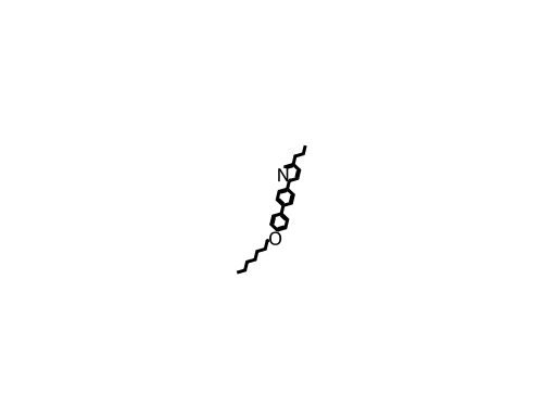 CCCCCCCOc1ccc(-c2ccc(-c3ccc(CCC)cn3)cc2)cc1